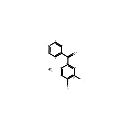 Cl.O=C(c1ccncc1)c1ccc(F)c(F)c1